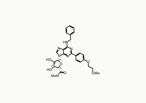 CNC(=O)[C@H]1O[C@@H](n2cnc3c(NCc4ccccc4)nc(-c4ccc(OCCOC)cc4)nc32)[C@H](O)[C@@H]1O